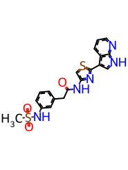 CS(=O)(=O)Nc1cccc(CC(=O)Nc2csc(-c3c[nH]c4ncccc34)n2)c1